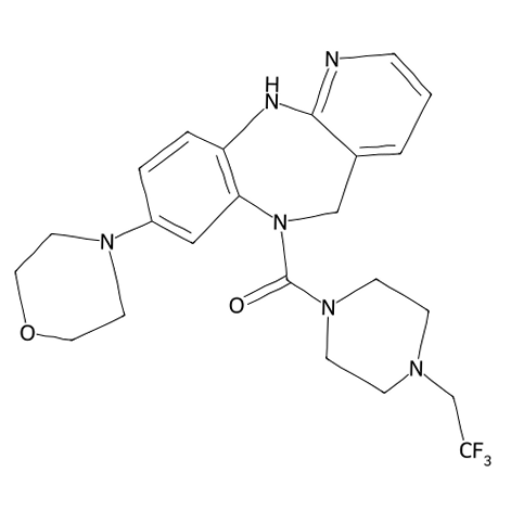 O=C(N1CCN(CC(F)(F)F)CC1)N1Cc2cccnc2Nc2ccc(N3CCOCC3)cc21